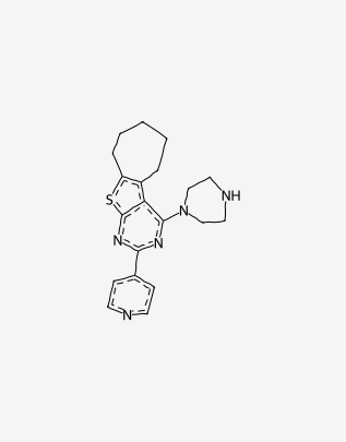 c1cc(-c2nc(N3CCNCC3)c3c4c(sc3n2)CCCCC4)ccn1